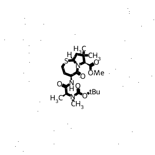 COC(=O)[C@H]1N2C(=O)[C@@H](NC(=O)[C@H](C)N(C)C(=O)OC(C)(C)C)CCS[C@H]2CC1(C)C